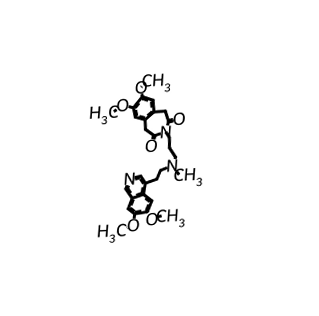 COc1cc2c(cc1OC)CC(=O)N(CCCN(C)CCc1cncc3cc(OC)c(OC)cc13)C(=O)C2